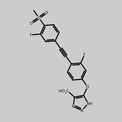 CS(=O)(=O)c1ccc(C#Cc2ccc(Oc3[nH]nnc3C(=O)O)cc2F)cc1F